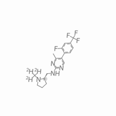 [2H]C([2H])([2H])N1CCC[C@@H]1CNc1ncc(-c2ccc(C(F)(F)F)cc2F)c(C)n1